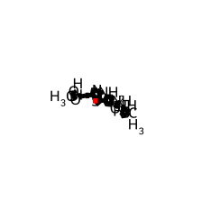 Cc1ccc(F)c(NC(=O)Nc2ccc(-c3csc4c(C#CCNS(C)(=O)=O)cnc(N)c34)cc2)c1